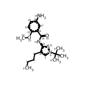 CCCCc1cn(C(C)(C)C)sc1=NC(=O)c1cc(N)ccc1OC